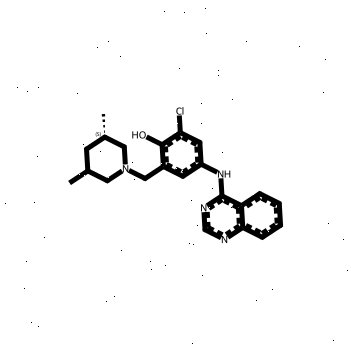 CC1C[C@H](C)CN(Cc2cc(Nc3ncnc4ccccc34)cc(Cl)c2O)C1